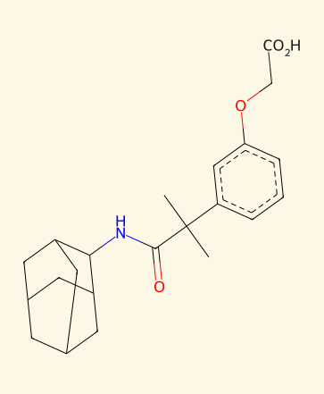 CC(C)(C(=O)NC1C2CC3CC(C2)CC1C3)c1cccc(OCC(=O)O)c1